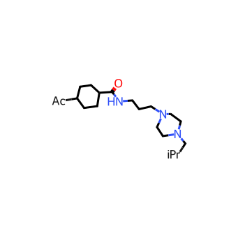 CC(=O)C1CCC(C(=O)NCCCN2CCN(CC(C)C)CC2)CC1